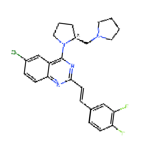 Fc1ccc(C=Cc2nc(N3CCC[C@H]3CN3CCCC3)c3cc(Cl)ccc3n2)cc1F